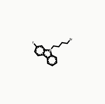 Fc1ccc2c3ccccc3n(CCCCBr)c2c1